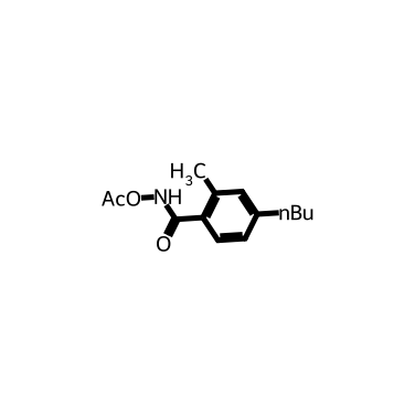 CCCCc1ccc(C(=O)NOC(C)=O)c(C)c1